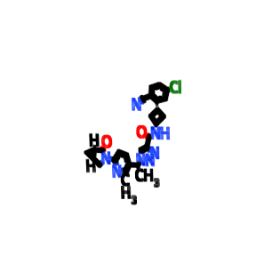 Cc1nc(N2C[C@H]3C[C@H]3C2=O)ccc1[C@H](C)n1cc(C(=O)N[C@H]2C[C@@H](c3cc(Cl)ccc3C#N)C2)nn1